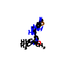 CCN(CC)CC(C)(C)C(=O)N1CC=C(c2cc3c(Nc4ccc5ncsc5c4)ncnc3[nH]2)CC1